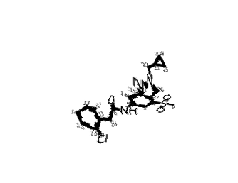 CS(=O)(=O)c1cc(NC(=O)Cc2ccccc2Cl)cc2nn(CC3CC3)cc12